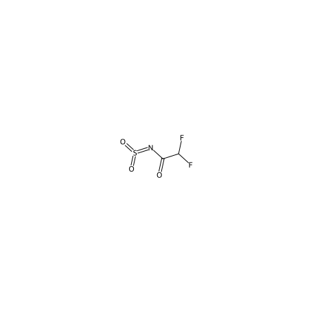 O=C(N=S(=O)=O)C(F)F